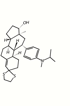 CC(C)N(C)c1ccc([C@H]2C[C@]3(C)[C@@H](O)CC[C@H]3[C@@H]3CCC4=CC5(CC[C@@H]4[C@H]32)SCCS5)cc1